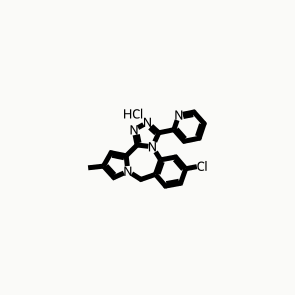 Cc1cc2n(c1)Cc1ccc(Cl)cc1-n1c(-c3ccccn3)nnc1-2.Cl